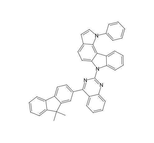 CC1(C)c2ccccc2-c2ccc(-c3nc(-n4c5ccccc5c5c6c(ccc54)ccn6-c4ccccc4)nc4ccccc34)cc21